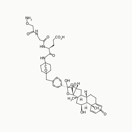 C[C@]12C=CC(=O)C=C1CC[C@@H]1[C@@H]2[C@@H](O)C[C@@]2(C)[C@H]1C[C@H]1O[C@@H](c3ccc(CC45CCC(NC(=O)[C@H](CCC(=O)O)NC(=O)CNC(=O)CON)(CC4)CO5)cc3)O[C@]12C(=O)CO